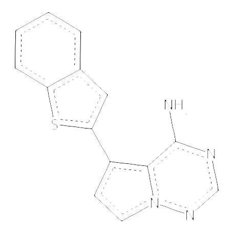 Nc1ncnn2ccc(-c3cc4ccccc4s3)c12